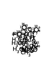 CC(C)c1c(C(=O)Nc2ccccc2)c(-c2ccccc2)c(-c2ccc(F)cc2)n1CC[C@H](C[C@H](CC(=O)ON1C(=O)CCC1=O)O[Si](C)(C)C(C)(C)C)O[Si](C)(C)C(C)(C)C